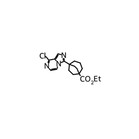 CCOC(=O)C12CCCC(c3ncc4c(Cl)nccn34)(CC1)CC2